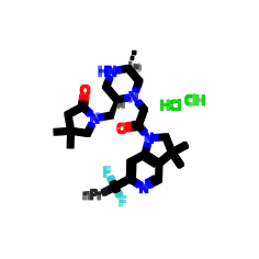 CCCC(F)(F)c1cc2c(cn1)C(C)(C)CN2C(=O)CN1C[C@@H](C)NC[C@@H]1CN1CC(C)(C)CC1=O.Cl.Cl